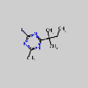 CCC(C)(C)c1nc(C)nc(I)n1